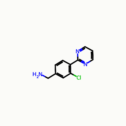 NCc1ccc(-c2ncccn2)c(Cl)c1